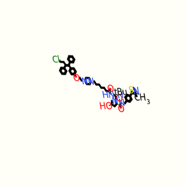 Cc1ncsc1-c1ccc(CNC(=O)[C@@H]2C[C@@H](O)CN2C(=O)C(NC(=O)CCCCCCN2CCN(CCOc3ccc(/C(=C(/CCCl)c4ccccc4)c4ccccc4)cc3)CC2)C(C)(C)C)cc1